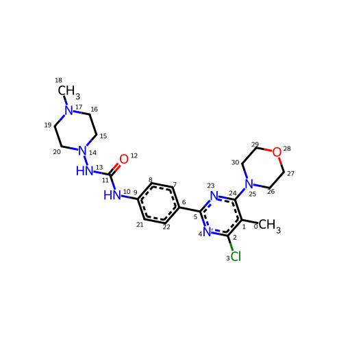 Cc1c(Cl)nc(-c2ccc(NC(=O)NN3CCN(C)CC3)cc2)nc1N1CCOCC1